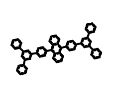 c1ccc(-c2cc(-c3ccccc3)cc(-c3ccc(-c4c5ccccc5c(-c5ccc(-c6cc(-c7ccccc7)cc(-c7ccccc7)c6)cc5)c5ccccc45)cc3)c2)cc1